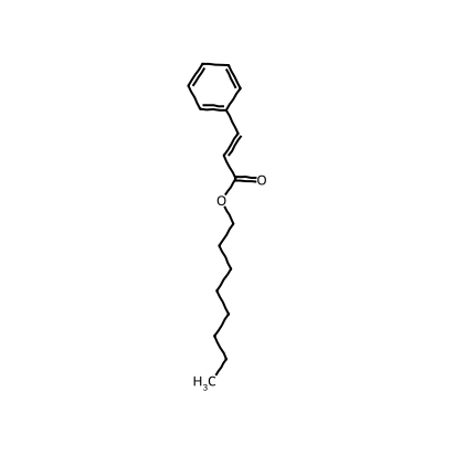 CCCCCCCCOC(=O)C=Cc1ccccc1